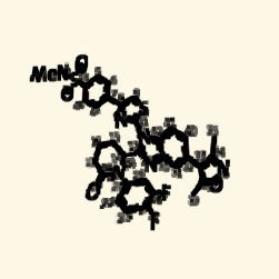 CNS(=O)(=O)c1ccc(-c2csc(-n3c([C@@H]4CCCC(=O)N4c4ccc(F)c(F)c4)nc4cc(-c5c(C)noc5C)ccc43)n2)cc1